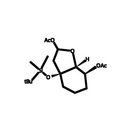 CC(=O)OC1C[C@]2(O[Si](C)(C)C(C)(C)C)CCC[C@H](OC(C)=O)[C@@H]2O1